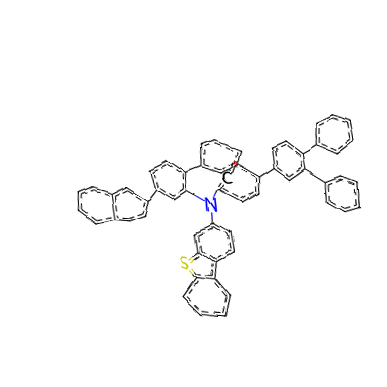 c1ccc(-c2ccc(-c3ccc(N(c4ccc5c(c4)sc4ccccc45)c4cc(-c5ccc6ccccc6c5)ccc4-c4ccccc4)cc3)cc2-c2ccccc2)cc1